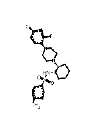 Cc1ccc(S(=O)(=O)N[C@H]2CCCC[C@@H]2N2CCN(c3ccc(Cl)cc3F)CC2)cc1